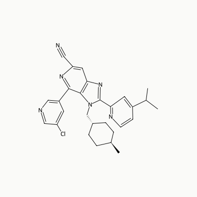 CC(C)c1ccnc(-c2nc3cc(C#N)nc(-c4cncc(Cl)c4)c3n2C[C@H]2CC[C@H](C)CC2)c1